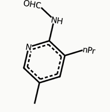 CCCc1cc(C)cnc1NC=O